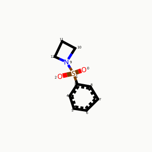 O=S(=O)(c1ccccc1)N1CCC1